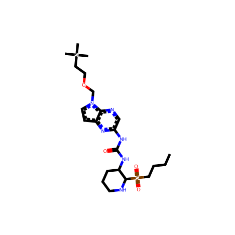 CCCCS(=O)(=O)C1NCCCC1NC(=O)Nc1cnc2c(ccn2COCC[Si](C)(C)C)n1